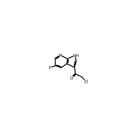 O=C(CCl)c1c[nH]c2ncc(F)cc12